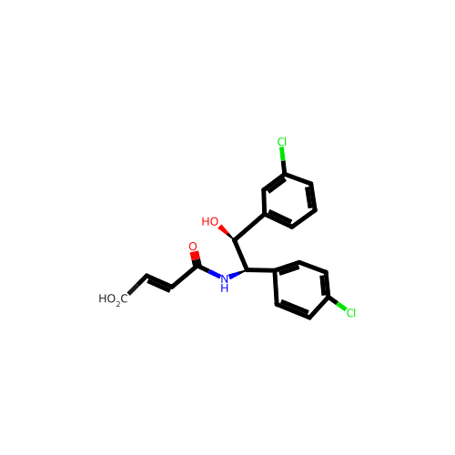 O=C(O)C=CC(=O)N[C@H](c1ccc(Cl)cc1)[C@@H](O)c1cccc(Cl)c1